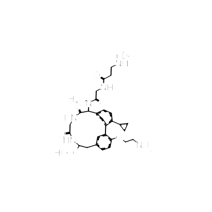 CCCCCCCCCCNCCC(=O)NCC(=O)N(C)C1C(=O)NCC(=O)NC(C(=O)O)Cc2ccc(OCCN)c(c2)-c2cc1ccc2C1CC1